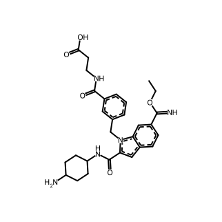 CCOC(=N)c1ccc2cc(C(=O)NC3CCC(N)CC3)n(Cc3cccc(C(=O)NCCC(=O)O)c3)c2c1